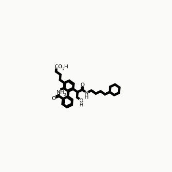 Cc1c(CCCC(=O)O)ccc(C(CO)C(=O)NCCCCC2CCCCC2)c1-c1ccccc1C(N)=O